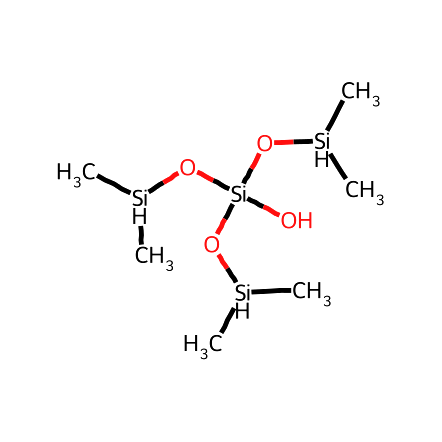 C[SiH](C)O[Si](O)(O[SiH](C)C)O[SiH](C)C